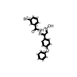 O=C(NN=C(C=NO)c1ccc(Oc2ccccc2)cc1)c1cccc(Br)c1